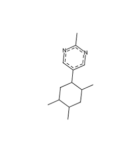 Cc1ncc(C2CC(C)C(C)CC2C)cn1